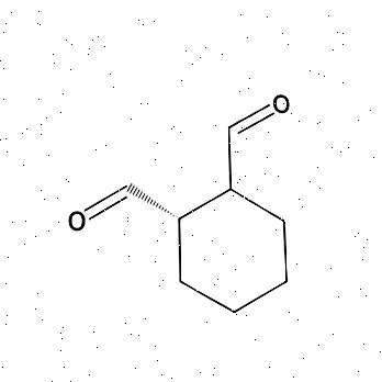 O=CC1CCCC[C@@H]1C=O